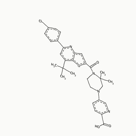 CC(C)(C)c1cc(-c2ccc(Cl)cc2)nc2cc(C(=O)N3CCN(c4ccc(C(=O)O)nc4)CC3(C)C)oc12